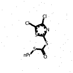 CCCSC(=O)Sc1nc(Cl)c(Cl)s1